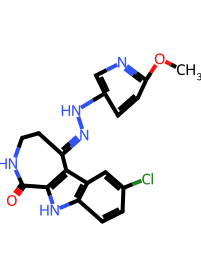 COc1ccc(NN=C2CCNC(=O)c3[nH]c4ccc(Cl)cc4c32)cn1